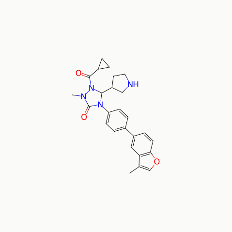 Cc1coc2ccc(-c3ccc(N4C(=O)N(C)N(C(=O)C5CC5)C4C4CCNC4)cc3)cc12